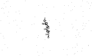 COCCNCc1ccc(Nc2nccc(-c3cnc(N4CCC(F)C4)c(C#N)c3)n2)cn1